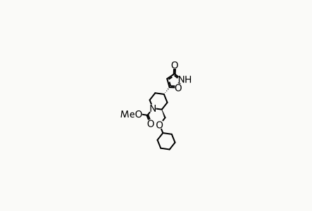 COC(=O)N1CC[C@H](c2cc(=O)[nH]o2)C[C@H]1COC1CCCCC1